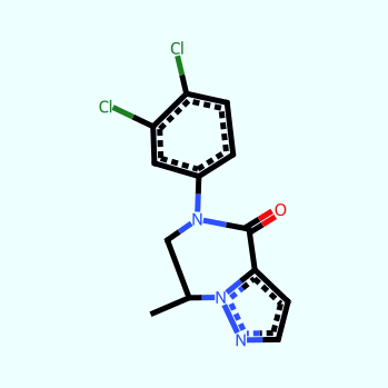 CC1CN(c2ccc(Cl)c(Cl)c2)C(=O)c2ccnn21